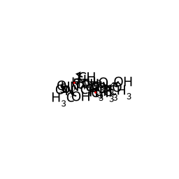 C[C@@H](O)[C@@H](CN[C@]12CC[C@@H](C3(C)CC3)[C@@H]1[C@H]1CC[C@@H]3[C@@]4(C)CC[C@H](OC(=O)[C@H]5[C@@H](CC(=O)O)C5(C)C)C(C)(C)[C@@H]4CC[C@@]3(C)[C@]1(C)CC2)N1CCS(=O)(=O)CC1